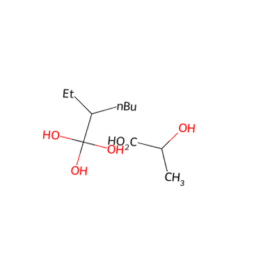 CC(O)C(=O)O.CCCCC(CC)C(O)(O)O